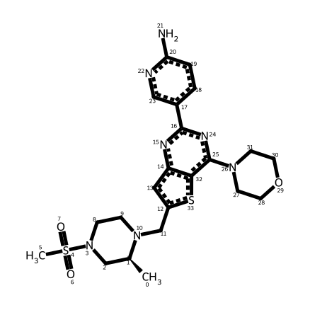 C[C@H]1CN(S(C)(=O)=O)CCN1Cc1cc2nc(-c3ccc(N)nc3)nc(N3CCOCC3)c2s1